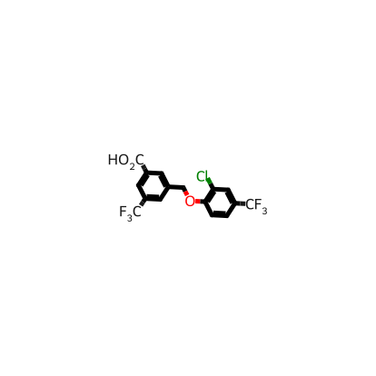 O=C(O)c1cc(COc2ccc(C(F)(F)F)cc2Cl)cc(C(F)(F)F)c1